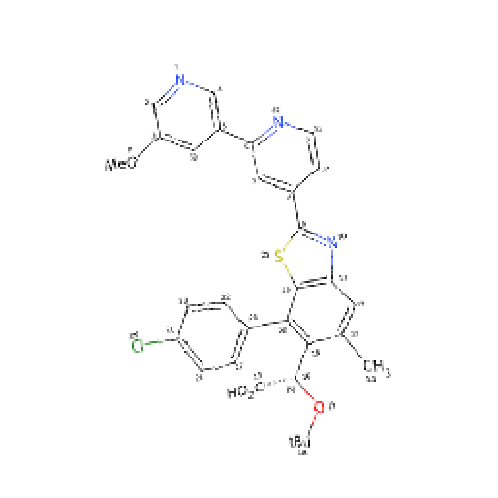 COc1cncc(-c2cc(-c3nc4cc(C)c([C@H](OC(C)(C)C)C(=O)O)c(-c5ccc(Cl)cc5)c4s3)ccn2)c1